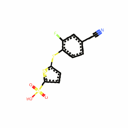 N#Cc1ccc(Sc2ccc(S(=O)(=O)O)s2)c(F)c1